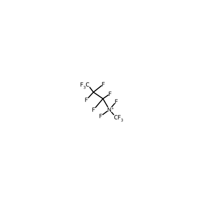 FC(F)(F)C(F)(F)C(F)(F)[N+](F)(F)C(F)(F)F